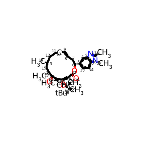 Cc1nc2cc([C@@H]3C/C=C/CCC[C@H](C)C[C@@H](C)C(=O)C(C)(C)/C(O[Si](C)(C)C(C)(C)C)=C\C(=O)O3)ccc2n1C